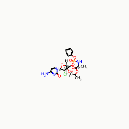 CC(C)OC(=O)[C@@H](C)NP(=O)(Oc1ccccc1)OC1[C@H]2O[C@@H](n3ccc(N)nc3=O)[C@@H](Cl)[C@@]12O